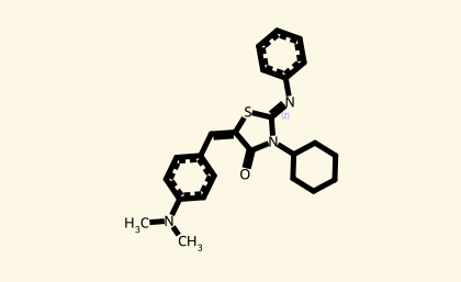 CN(C)c1ccc(C=C2S/C(=N\c3ccccc3)N(C3CCCCC3)C2=O)cc1